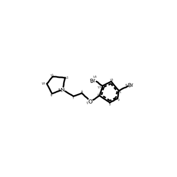 Brc1ccc(OCCN2CCCC2)c(Br)c1